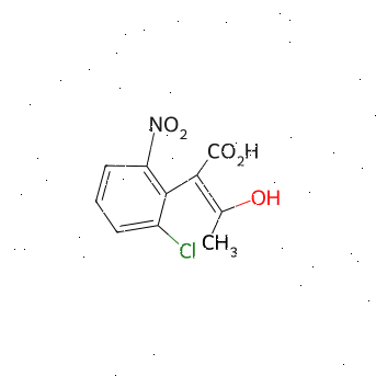 C/C(O)=C(/C(=O)O)c1c(Cl)cccc1[N+](=O)[O-]